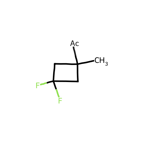 CC(=O)C1(C)CC(F)(F)C1